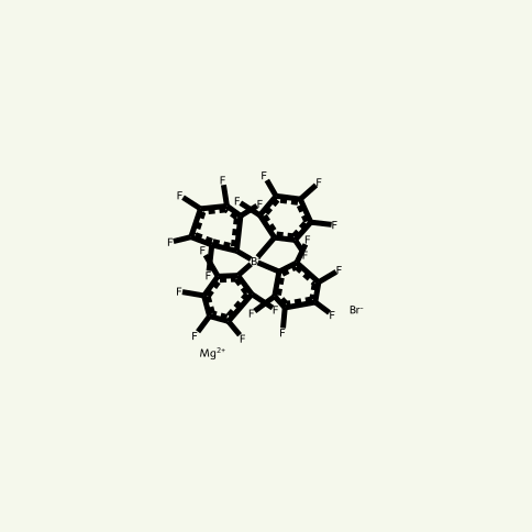 Fc1c(F)c(F)c([B-](c2c(F)c(F)c(F)c(F)c2F)(c2c(F)c(F)c(F)c(F)c2F)c2c(F)c(F)c(F)c(F)c2F)c(F)c1F.[Br-].[Mg+2]